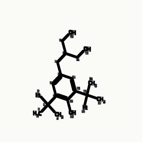 CCC(C)(C)c1cc(CC(CO)CO)cc(C(C)(C)CC)c1O